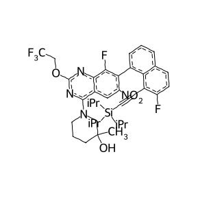 CC(C)[Si](C#Cc1c(F)ccc2cccc(-c3c([N+](=O)[O-])cc4c(N5CCCC(C)(O)C5)nc(OCC(F)(F)F)nc4c3F)c12)(C(C)C)C(C)C